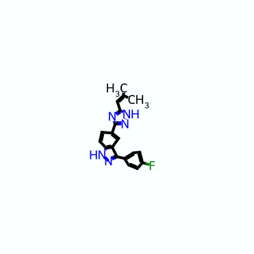 CC(C)=Cc1nc(-c2ccc3[nH]nc(-c4ccc(F)cc4)c3c2)n[nH]1